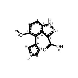 COc1ccc2[nH]nc(C(=O)O)c2c1-c1ccsc1